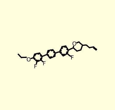 C=CCCC1CCC(c2ccc(-c3ccc(-c4ccc(OCCC)c(F)c4F)cc3)cc2F)OC1